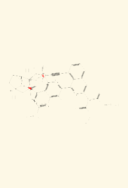 CC(C)[Si](C#Cc1cccc2cc(N(C(=O)OC(C)(C)C)C(=O)OC(C)(C)C)nc(-c3nc4c5c(nc([S+](C)[O-])nc5c3F)N3C[C@H]5CC[C@@H]([C@H]3[C@H](C)O4)N5C(=O)OC(C)(C)C)c12)(C(C)C)C(C)C